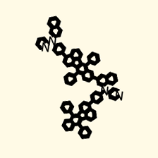 c1ccc(-c2c3c(c(-c4ccccc4)c4ccccc24)-c2ccc(-c4ccc(N(c5ccncc5)c5cc(-c6ccc7c(-c8ccccc8)c8c(c(-c9ccccc9)c7c6)-c6cccc7c(-c9ccc(N(c%10ccc%11ccccc%11c%10)c%10ccccn%10)cc9)ccc-8c67)cc6ccccc56)cc4)c4cccc-3c24)cc1